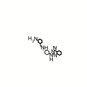 CN(C)c1nc(N[C@H]2CC[C@@H](CNCc3cccc(N)c3)CC2)nc2ccccc12